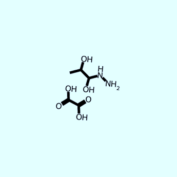 CC(O)C(O)NN.O=C(O)C(=O)O